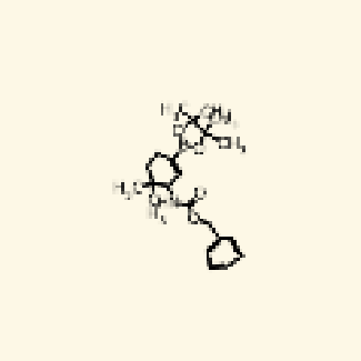 CC1(C)CCC(B2OC(C)(C)C(C)(C)O2)=CC1NC(=O)OCc1ccccc1